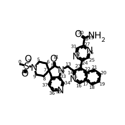 CS(=O)(=O)N1CCC2(CC1)C(=O)N(Cc1ncc3ccccc3c1-c1cnc(C(N)=O)cn1)c1cnccc12